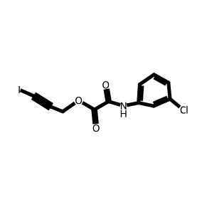 O=C(Nc1cccc(Cl)c1)C(=O)OCC#CI